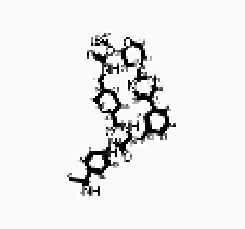 CC(=N)c1ccc(NC(=O)[C@H](Cc2cccc(-c3cnc(N4CCOCC4)nc3)c2)NC(=O)C2CCC(CNC(=O)OC(C)(C)C)CC2)cc1